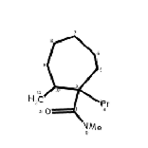 CNC(=O)C1(C(C)C)CCCCCC1C